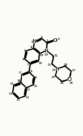 O=c1cnc2ccc(-c3ccc4ccccc4c3)cc2n1CCN1CCOCC1